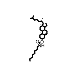 CCCCCCCCNC(=O)O[C@@H]1CC[C@]2(C)C(=CCC3C2CC[C@]2(C)C3CC[C@H]2[C@@H](C)CCCC(C)C)C1